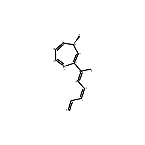 C=C/C=C\C=C(/C)C1=C[C@H](C)C=CC=N1